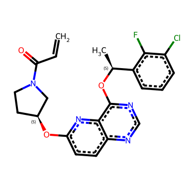 C=CC(=O)N1CC[C@H](Oc2ccc3ncnc(O[C@@H](C)c4cccc(Cl)c4F)c3n2)C1